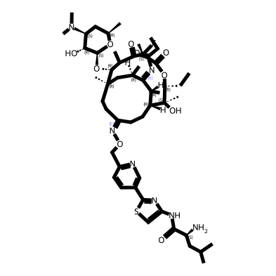 CCC(=O)/N=C1\[C@H](C)C[C@@]2(C)CC/C(=N/OCc3ccc(-c4nc(NC(=O)[C@@H](N)CC(C)C)cs4)cn3)CC[C@H]([C@H]1C)[C@](C)(O)[C@@H](CC)OC(=O)[C@@](C)(F)C(=O)C(C)[C@H]2O[C@@H]1O[C@H](C)C[C@H](N(C)C)[C@H]1O